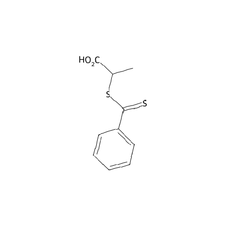 CC(SC(=S)c1ccccc1)C(=O)O